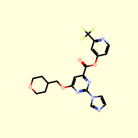 O=C(Oc1ccnc(C(F)(F)F)c1)c1cc(OCC2CCOCC2)nc(-n2ccnc2)n1